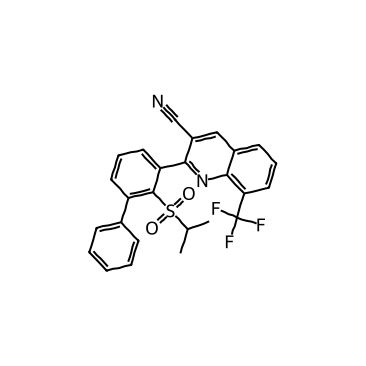 CC(C)S(=O)(=O)c1c(-c2ccccc2)cccc1-c1nc2c(C(F)(F)F)cccc2cc1C#N